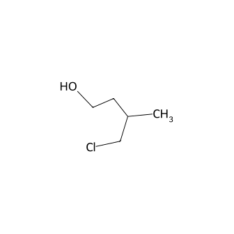 CC(CCl)CCO